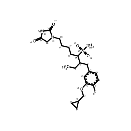 CCC(Cc1ccc(F)c(OCC2CC2)c1)C(CCCCN1CC(=O)NC1=O)S(N)(=O)=O